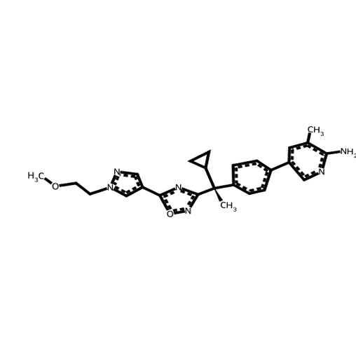 COCCn1cc(-c2nc([C@@](C)(c3ccc(-c4cnc(N)c(C)c4)cc3)C3CC3)no2)cn1